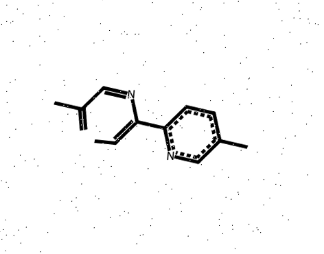 C=C(C)/C=N\C(=C/C)c1ccc(C)cn1